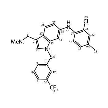 CNCc1cn(Sc2cccc(C(F)(F)F)c2)c2cc(Nc3ccc(C)cc3Cl)ccc12